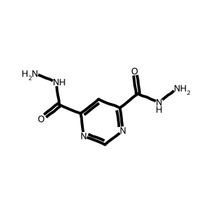 NNC(=O)c1cc(C(=O)NN)ncn1